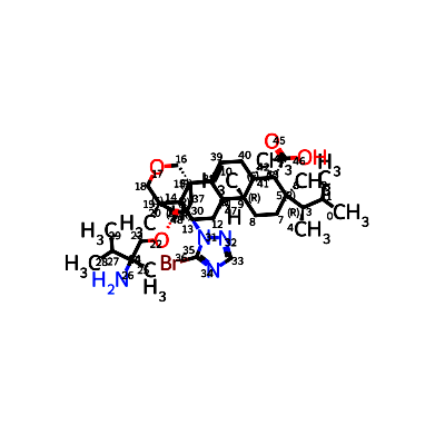 CC(C)[C@@H](C)[C@@]1(C)CC[C@]2(C)[C@H]3CC[C@@H]4[C@@]5(COC[C@@]4(C)[C@@H](OC[C@](C)(N)C(C)C)[C@H](n4ncnc4Br)C5)C3=CC[C@@]2(C)[C@@H]1C(=O)O